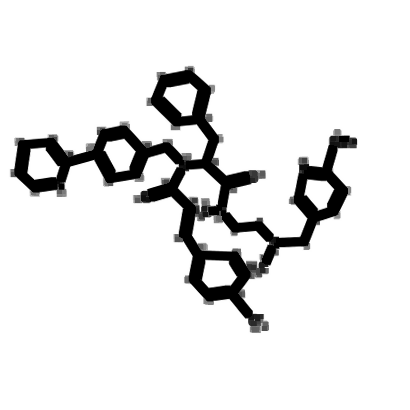 COc1ccc(CN(C)CCN(C)C(=O)C(Cc2ccccc2)N(Cc2ccc(-c3ccccn3)cc2)C(=O)C=Cc2ccc(C(F)(F)F)cc2)cn1